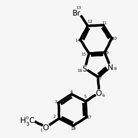 COc1ccc(Oc2nc3ccc(Br)cc3s2)cc1